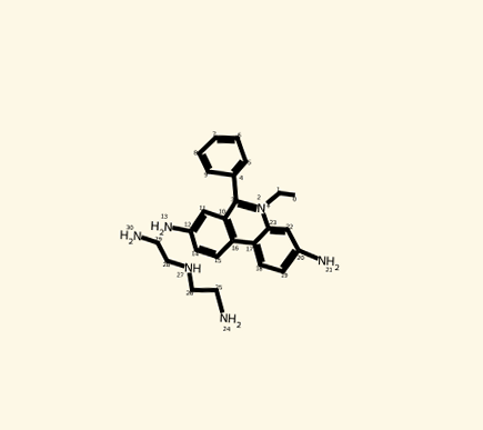 CC[n+]1c(-c2ccccc2)c2cc(N)ccc2c2ccc(N)cc21.NCCNCCN